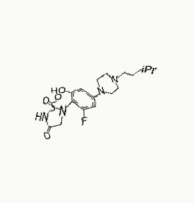 CC(C)CCN1CCN(c2cc(O)c(N3CC(=O)NS3(=O)=O)c(F)c2)CC1